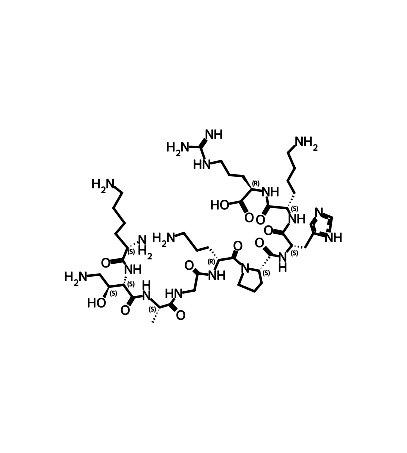 C[C@H](NC(=O)[C@@H](NC(=O)[C@@H](N)CCCCN)[C@@H](O)CN)C(=O)NCC(=O)N[C@H](CCCN)C(=O)N1CCC[C@H]1C(=O)N[C@@H](Cc1cnc[nH]1)C(=O)N[C@@H](CCCCN)C(=O)N[C@H](CCCNC(=N)N)C(=O)O